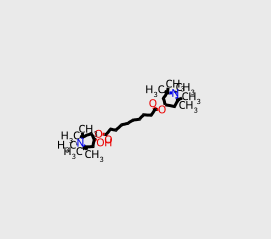 CN1C(C)(C)CC(OC(=O)CCCCCCCCC(=O)OC2(O)CC(C)(C)N(C)C(C)(C)C2)CC1(C)C